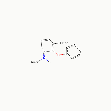 CO/[N+](C)=C1\CC=CC(NC(C)=O)=C1Oc1ccccc1